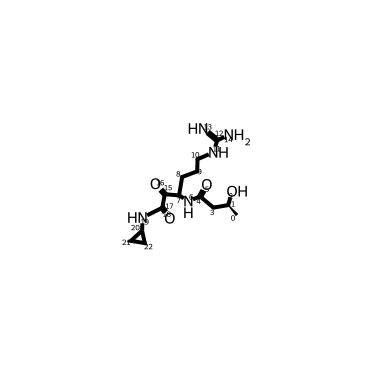 C[C@H](O)CC(=O)NC(CCCNC(=N)N)C(=O)C(=O)NC1CC1